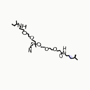 CCC(C)NCCOCCOCCC(C)(OCCOCCOCCC(=O)NC/C=C/C(C)C)SC#N